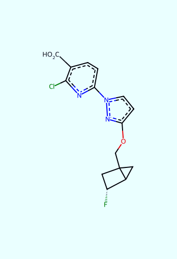 O=C(O)c1ccc(-n2ccc(OCC34CC3[C@H](F)C4)n2)nc1Cl